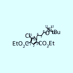 CCOC(=O)c1cc(C(=O)OCC)n(CCCO[Si](C)(C)C(C)(C)C)c1Cl